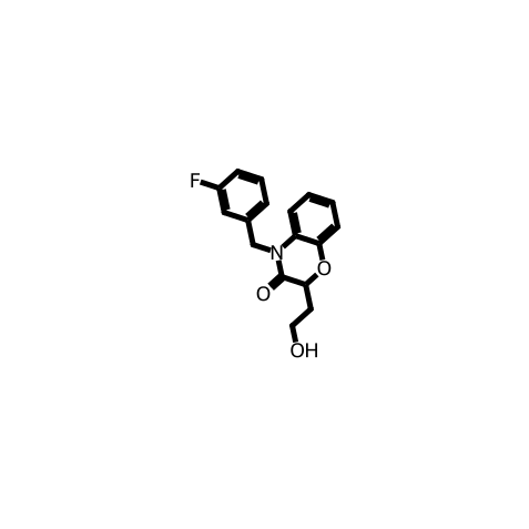 O=C1C(CCO)Oc2ccccc2N1Cc1cccc(F)c1